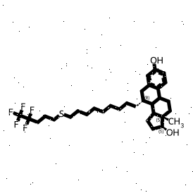 C[C@]12CCC3c4ccc(O)cc4C[C@@H](CCCCCCCCCSCCCC(F)(F)C(F)(F)F)C3C1CC[C@@H]2O